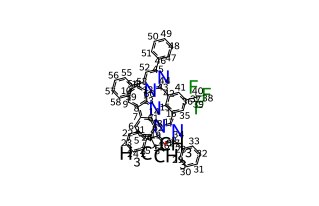 CC(C)(C)c1ccc2c3ccccc3n(-c3c(-c4nc(-c5ccccc5)cc(-c5ccccc5)n4)cc(C(F)(F)F)cc3-c3nc(-c4ccccc4)cc(-c4ccccc4)n3)c2c1